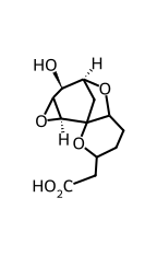 O=C(O)CC1CCC2O[C@H]3CC2(O1)[C@H]1OC1[C@H]3O